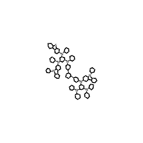 c1ccc(N(c2ccccc2)c2cc(N(c3ccccc3)c3ccccc3)cc(N(c3ccc(-c4cccc(-c5ccc(N(c6ccccc6)c6cc(N(c7ccccc7)c7ccc8c(c7)sc7ccccc78)cc(N(c7ccccc7)c7ccc8c9ccccc9n(-c9ccccc9)c8c7)c6)cc5)c4)cc3)c3ccc4c(c3)c3ccccc3n4-c3ccccc3)c2)cc1